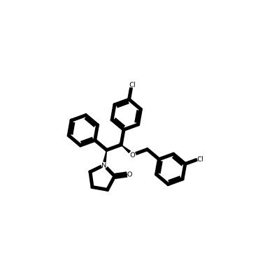 O=C1CCCN1[C@@H](c1ccccc1)[C@H](OCc1cccc(Cl)c1)c1ccc(Cl)cc1